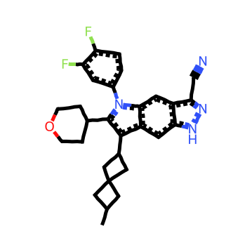 CC1CC2(C1)CC(c1c(C3CCOCC3)n(-c3ccc(F)c(F)c3)c3cc4c(C#N)n[nH]c4cc13)C2